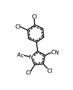 CC(=O)n1c(Cl)c(Cl)c(C#N)c1-c1ccc(Cl)c(Cl)c1